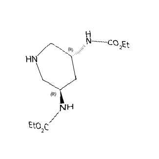 CCOC(=O)N[C@H]1CNC[C@H](NC(=O)OCC)C1